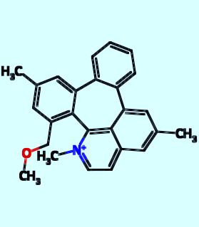 COCc1cc(C)cc2c1-c1c3c(cc(C)cc3cc[n+]1C)-c1ccccc1-2